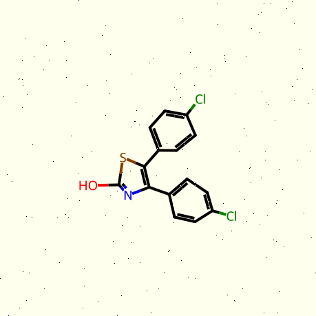 Oc1nc(-c2ccc(Cl)cc2)c(-c2ccc(Cl)cc2)s1